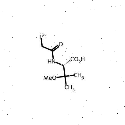 COC(C)(C)[C@H](NC(=O)CC(C)C)C(=O)O